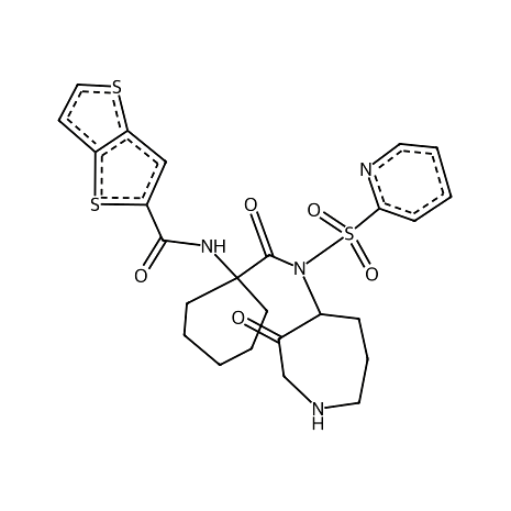 O=C(NC1(C(=O)N(C2CCCNCC2=O)S(=O)(=O)c2ccccn2)CCCCC1)c1cc2sccc2s1